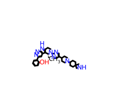 CC[C@@H]1c2c([nH]c3nnc(-c4ccccc4O)cc23)CCN1c1ncc(C2CCN(C3CCC4(CC3)CNC4)CC2)cn1